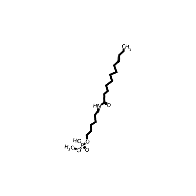 CCCCCCCCCCCC(=O)NCCCCCCOP(=O)(O)OC